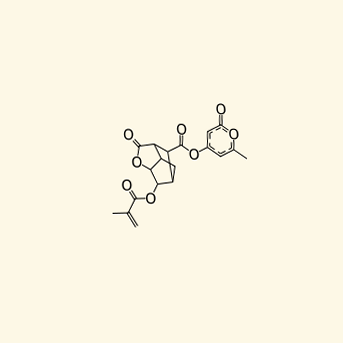 C=C(C)C(=O)OC1C2CC3C1OC(=O)C3C2C(=O)Oc1cc(C)oc(=O)c1